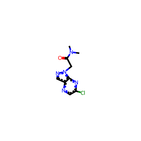 CN(C)C(=O)Cn1ncc2ncc(Cl)nc21